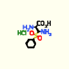 Cl.NC(C(=O)O)C(N)S(=O)(=O)c1ccccc1